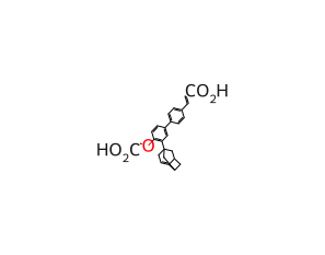 O=C(O)/C=C/c1ccc(-c2ccc(OCC(=O)O)c(C34CC=C5C(CC5C3)C4)c2)cc1